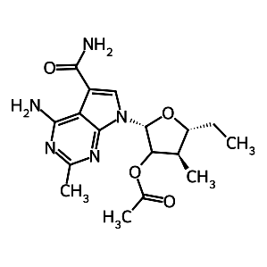 CC[C@H]1O[C@@H](n2cc(C(N)=O)c3c(N)nc(C)nc32)C(OC(C)=O)[C@@H]1C